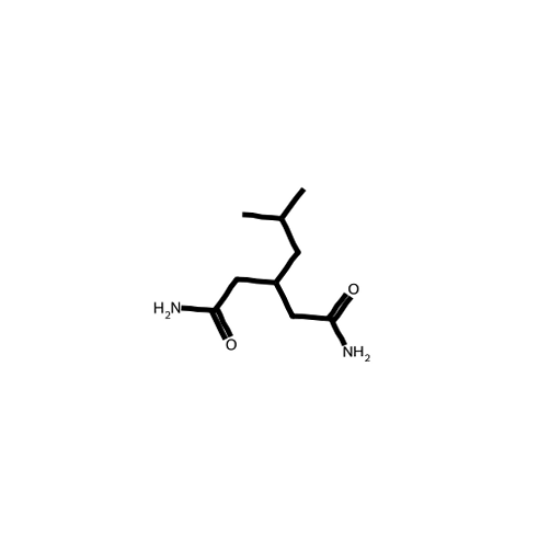 CC(C)CC(CC(N)=O)CC(N)=O